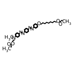 CCC(=O)OCCCCCCCCCOc1ccc(N=Nc2ccc(N=Nc3ccc(N(C)CCOC(=O)CC)cc3)cc2)cc1